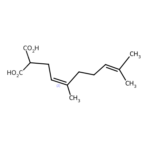 CC(C)=CCC/C(C)=C\CC(C(=O)O)C(=O)O